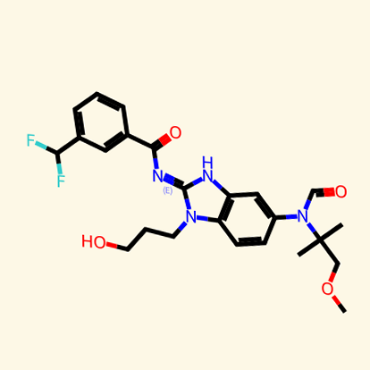 COCC(C)(C)N(C=O)c1ccc2c(c1)[nH]/c(=N\C(=O)c1cccc(C(F)F)c1)n2CCCO